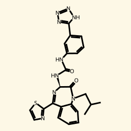 CC(C)CN1C(=O)[C@H](NC(=O)Nc2cccc(-c3nnn[nH]3)c2)N=C(c2nccs2)c2ccccc21